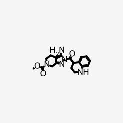 COC(=O)N1CCc2c(nn(C(=O)C3CCNc4ccccc43)c2N)C1